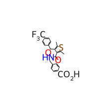 Cc1sc(C)c(C(=O)c2ccc(C(F)(F)F)cc2)c1C(=O)N[C@@H](C)c1ccc(C(=O)O)cc1